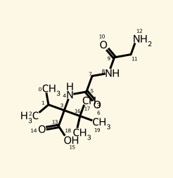 CC(C)C(NC(=O)CNC(=O)CN)(C(=O)O)C(C)(C)C